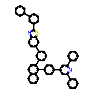 c1ccc(-c2cccc(-c3nc4ccc(-c5cccc(-c6ccc7ccccc7c6-c6ccc(-c7cc(-c8ccccc8)nc(-c8ccccc8)c7)cc6)c5)cc4s3)c2)cc1